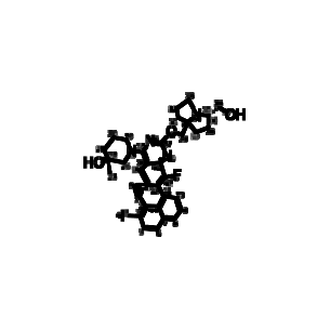 C#Cc1c(F)ccc2cccc(-c3c(F)cc4c(N5CCC[C@@](C)(O)C5)nc(OC[C@@]56CCCN5[C@H](CO)CC6)nc4c3F)c12